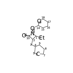 CCC1C(CC2CCCCC2)C(=O)N1OC1CCCCO1